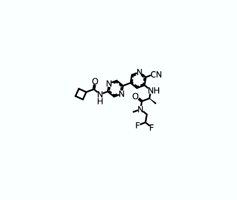 C[C@H](Nc1cc(-c2cnc(NC(=O)C3CCC3)cn2)cnc1C#N)C(=O)N(C)CC(F)F